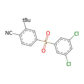 CC(C)(C)c1cc(S(=O)(=O)c2cc(Cl)cc(Cl)c2)ccc1C#N